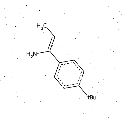 C/C=C(\N)c1ccc(C(C)(C)C)cc1